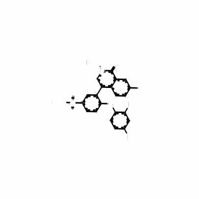 Cn1cc(-c2cc(S(C)(=O)=O)ccc2Oc2ccc(F)cc2F)c2ccc(F)cc2c1=O